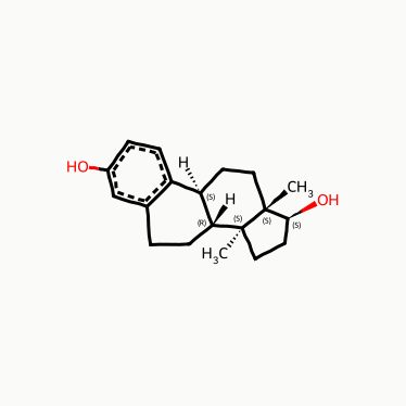 C[C@@]12CC[C@H](O)[C@@]1(C)CC[C@@H]1c3ccc(O)cc3CC[C@H]12